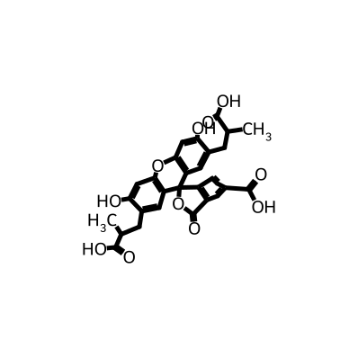 CC(Cc1cc2c(cc1O)Oc1cc(O)c(CC(C)C(=O)O)cc1C21OC(=O)c2cc(C(=O)O)ccc21)C(=O)O